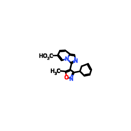 Cc1onc(C2C=CC=CC2)c1-c1ncc2ccc(C(=O)O)cn12